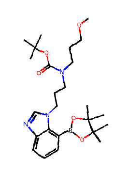 COCCCN(CCCn1cnc2cccc(B3OC(C)(C)C(C)(C)O3)c21)C(=O)OC(C)(C)C